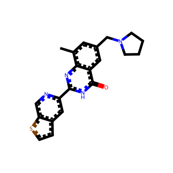 Cc1cc(CN2CCCC2)cc2c(=O)[nH]c(-c3cc4ccsc4cn3)nc12